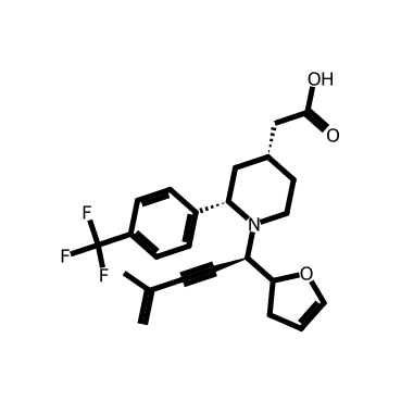 C=C(C)C#C[C@H](C1CC=CO1)N1CC[C@@H](CC(=O)O)C[C@H]1c1ccc(C(F)(F)F)cc1